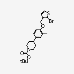 Cc1cc(C2CCN(C(=O)OC(C)(C)C)CC2)ccc1OCc1ccsc1Br